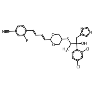 C[C@@H](SC1COC(C=CC=Cc2ccc(C#N)cc2F)OC1)[C@](O)(Cn1cncn1)c1ccc(Cl)cc1Cl